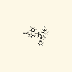 CC1(C)OCCn2c1nc(C(=O)NCc1ccc(F)cc1N1C(=O)CC[C@@H]1CO)c(OCc1ccccc1)c2=O